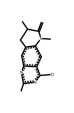 C=C1C(C)Cc2cc3nc(C)nc(Cl)c3cc2N1C